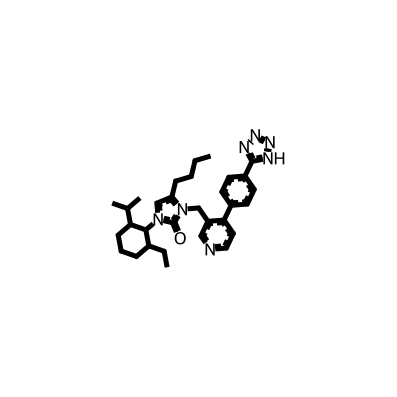 CCCCc1cn(C2C(CC)CCCC2C(C)C)c(=O)n1Cc1cnccc1-c1ccc(-c2nnn[nH]2)cc1